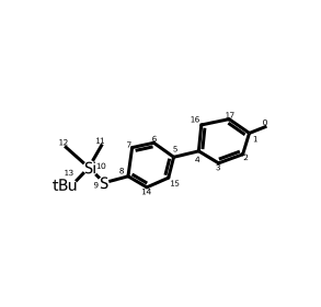 Cc1ccc(-c2ccc(S[Si](C)(C)C(C)(C)C)cc2)cc1